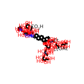 CCC(OC(O)C(O)C(OC(O)C(O)C(O)C(C)O)C(CC)OC(C)=O)/C(O)=C(\OC1OC(C)C(OC(O)/C(O)=C(/OC2OC(CO)C(O)C(O)C2O)C(C)O)C(O)C1O)C(O)OC(=O)[C@]12CCC(C)(C)CC1C1=CCC3[C@@]4(C)CC[C@H](OC(O)/C(OC(O)/C(O)=C(/O)C(O)CCO)=C(/OC5OCC(O)C(O)C5O)C(O)CC(=O)O)[C@@](C)(/C=N/NC(=O)CCCCCN5C(=O)C=CC5=O)C4CC[C@@]3(C)[C@]1(C)C[C@H]2O